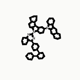 c1ccc(-c2ccccc2-c2ccc(-c3nc(-n4c5ccc(-n6c7ccccc7c7cc8ccccc8cc76)cc5c5c6ccccc6ccc54)nc4ccccc34)cc2)cc1